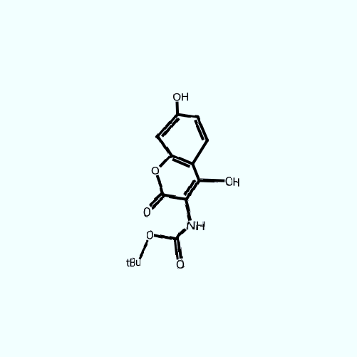 CC(C)(C)OC(=O)Nc1c(O)c2ccc(O)cc2oc1=O